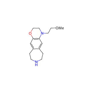 COCCN1CCOc2cc3c(cc21)CCNCC3